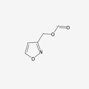 O=[C]OCc1ccon1